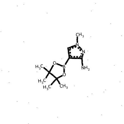 Cn1cc(B2OC(C)(C)C(C)(C)O2)c(N)n1